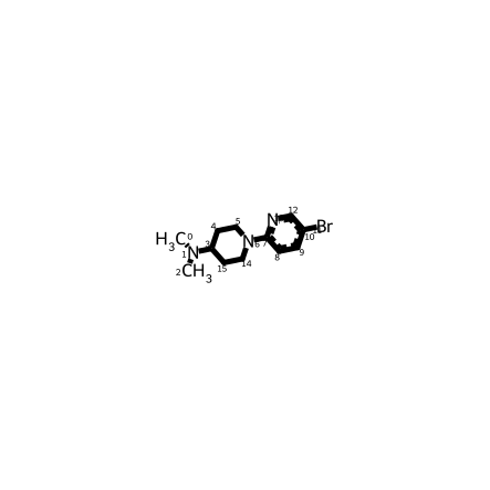 CN(C)C1CCN(c2ccc(Br)cn2)CC1